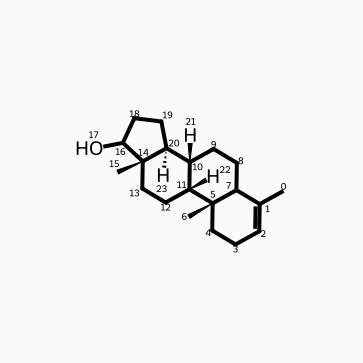 CC1=CCC[C@@]2(C)C1CC[C@@H]1[C@H]2CC[C@]2(C)C(O)CC[C@@H]12